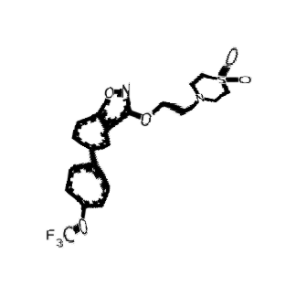 O=S1(=O)CCN(CCOc2noc3ccc(-c4ccc(OC(F)(F)F)cc4)cc23)CC1